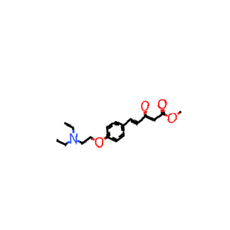 CCN(CC)CCOc1ccc(C=CC(=O)CC(=O)OC)cc1